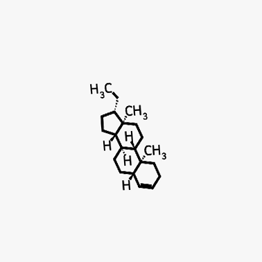 CC[C@H]1CC[C@H]2[C@@H]3CC[C@H]4C=CCC[C@]4(C)[C@H]3CC[C@]12C